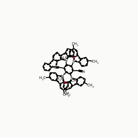 Cc1ccc2c(c1)c1cc(C)cc(C)c1n2-c1c(C#N)c(-n2c3ccc(C)cc3c3cc(C)cc(C)c32)c(-n2c3ccccc3c3ccc4c5ccccc5sc4c32)c(C#N)c1-n1c2ccc(C)cc2c2cc(C)cc(C)c21